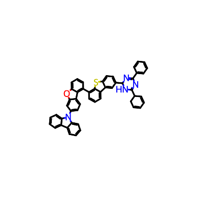 C1=CCC(C2=NC(c3ccccc3)=NC(c3ccc4sc5c(-c6cccc7oc8cc(-n9c%10ccccc%10c%10ccccc%109)ccc8c67)cccc5c4c3)N2)C=C1